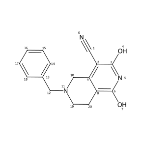 N#Cc1c(O)nc(O)c2c1CN(Cc1ccccc1)CC2